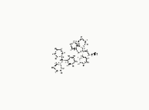 CCCC=C[Si](Cn1ccnc1)(c1ccccc1)c1ccccc1.c1ccc(B(c2ccccc2)c2ccccc2)cc1